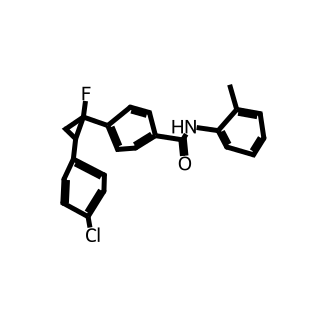 Cc1ccccc1NC(=O)c1ccc(C2(F)CC2c2ccc(Cl)cc2)cc1